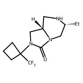 CC[C@@H]1CN2C(=O)N(C3(C(F)(F)F)CCC3)C[C@@H]2CN1